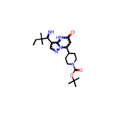 CCC(C)(C)C(=N)c1cnn2c(C3CCN(C(=O)OC(C)(C)C)CC3)cc(=O)[nH]c12